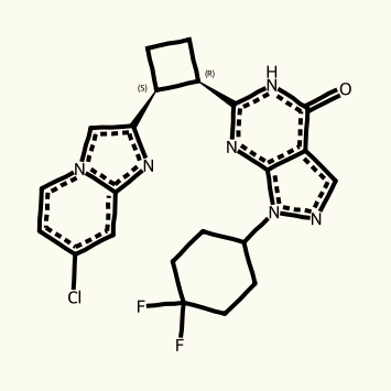 O=c1[nH]c([C@@H]2CC[C@@H]2c2cn3ccc(Cl)cc3n2)nc2c1cnn2C1CCC(F)(F)CC1